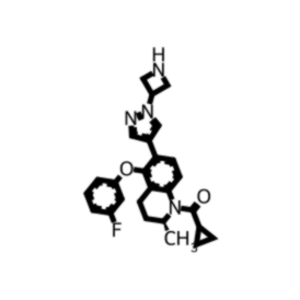 C[C@H]1CCc2c(ccc(-c3cnn(C4CNC4)c3)c2Oc2cccc(F)c2)N1C(=O)C1CC1